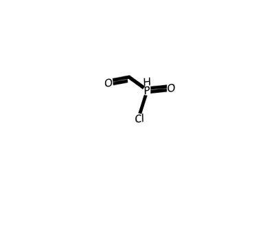 O=C[PH](=O)Cl